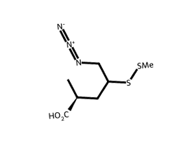 CSSC(CN=[N+]=[N-])C[C@H](C)C(=O)O